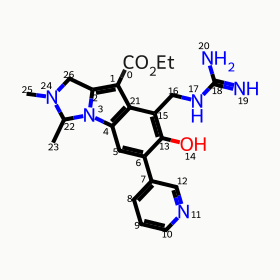 CCOC(=O)c1c2n(c3cc(-c4cccnc4)c(O)c(CNC(=N)N)c13)C(C)N(C)C2